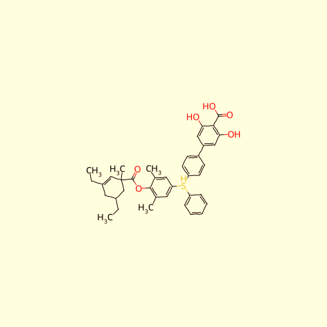 CCC1=CC(C)(C(=O)Oc2c(C)cc([SH](c3ccccc3)c3ccc(-c4cc(O)c(C(=O)O)c(O)c4)cc3)cc2C)CC(CC)C1